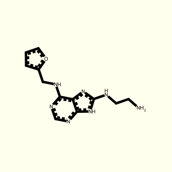 NCCNc1nc2c(NCc3ccco3)ncnc2[nH]1